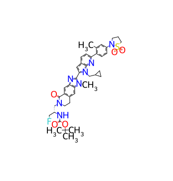 Cc1cc(N2CCCS2(=O)=O)ccc1-c1ccc2cc(-c3nc4cc5c(cc4n3C)CCN(C[C@@H](CF)NC(=O)OC(C)(C)C)C5=O)n(CC3CC3)c2n1